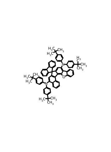 CC(C)(C)C1=CCC(N(c2ccc(C(C)(C)C)cc2)c2cc3c(c4oc5ccccc5c24)-c2c(cc(N(c4ccc(C(C)(C)C)cc4)c4ccc(C(C)(C)C)cc4)c4ccccc24)C32c3ccccc3-c3ccccc32)C=C1